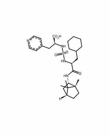 CC1(C)[C@@H]2CC[C@@]1(C)[C@@H](NC(=O)[C@H](CC1CCCCC1)NS(=O)(=O)N[C@@H](Cc1ccncc1)C(=O)O)C2